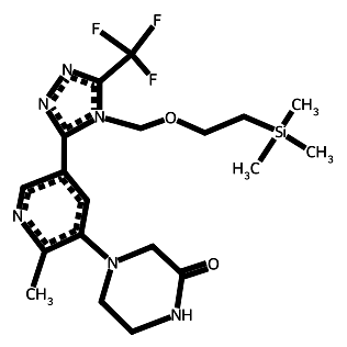 Cc1ncc(-c2nnc(C(F)(F)F)n2COCC[Si](C)(C)C)cc1N1CCNC(=O)C1